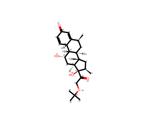 C[C@@H]1C[C@H]2[C@@H]3C[C@H](C)C4=CC(=O)C=C[C@@H]4[C@H]3[C@@H](O)C[C@]2(C)[C@@]1(O)C(=O)COC(C)(C)C